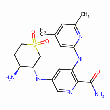 Cc1cc(C)nc(Nc2cc(N[C@H]3CS(=O)(=O)CC[C@@H]3N)cnc2C(N)=O)c1